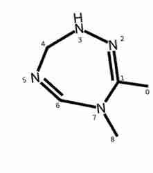 CC1=NNCN=CN1C